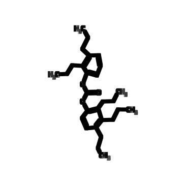 CCCc1cccc(OC(=O)Oc2ccc(CCC)c(CCC)c2CCC)c1CCC